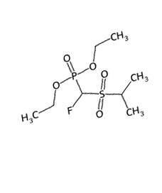 CCOP(=O)(OCC)C(F)S(=O)(=O)C(C)C